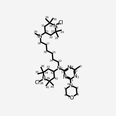 Cc1nc(N2CCOCC2)nc(N(CCCCCCN(C)C2CC(C)(C)N(Cl)C(C)(C)C2)C2CC(C)(C)N(Cl)C(C)(C)C2)n1